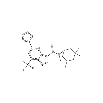 CC1(C)CC2CC(C)(CN2C(=O)c2cnn3c(C(F)(F)F)cc(-c4cccs4)nc23)C1